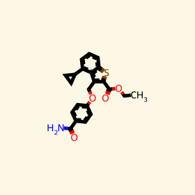 CCOC(=O)c1sc2cccc(C3CC3)c2c1COc1ccc(C(N)=O)cc1